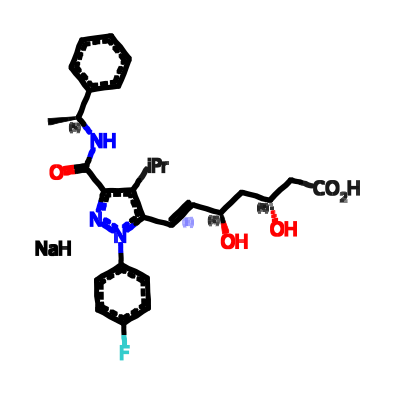 CC(C)c1c(C(=O)N[C@@H](C)c2ccccc2)nn(-c2ccc(F)cc2)c1/C=C/[C@H](O)C[C@@H](O)CC(=O)O.[NaH]